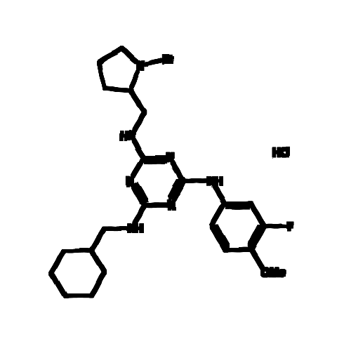 CCN1CCCC1CNc1nc(NCC2CCCCC2)nc(Nc2ccc(OC)c(F)c2)n1.Cl